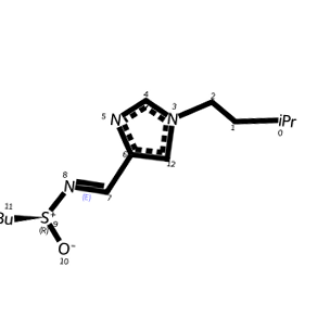 CC(C)CCn1cnc(/C=N/[S@@+]([O-])C(C)(C)C)c1